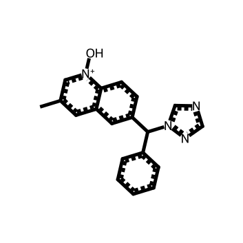 Cc1cc2cc(C(c3ccccc3)n3cncn3)ccc2[n+](O)c1